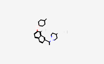 CC1CCC(Oc2ccc3ccc(C(C)N4CCC(C(=O)O)CC4)cc3c2C(F)(F)F)CC1